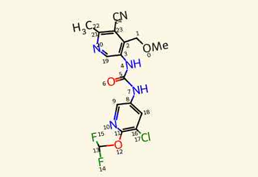 COCc1c(NC(=O)Nc2cnc(OC(F)F)c(Cl)c2)cnc(C)c1C#N